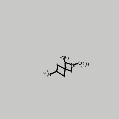 CC(C)(C)C1N(C(=O)O)CC12CC(N)C2